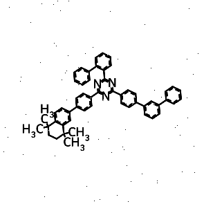 CC1(C)CCC(C)(C)c2cc(-c3ccc(-c4nc(-c5ccc(-c6cccc(-c7ccccc7)c6)cc5)nc(-c5ccccc5-c5ccccc5)n4)cc3)ccc21